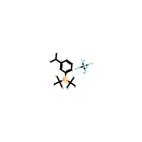 CC(C)c1cccc([PH+](C(C)(C)C)C(C)(C)C)c1.F[B-](F)(F)F